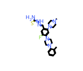 Cc1ccccc1N1CCN(c2cc(N3CCN(C)CC3)c(C=NNC(N)=S)cc2F)CC1